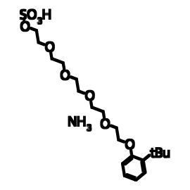 CC(C)(C)c1ccccc1OCCOCCOCCOCCOCCOS(=O)(=O)O.N